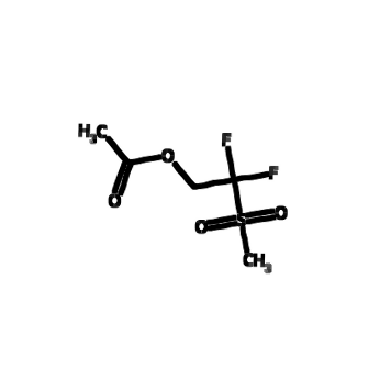 CC(=O)OCC(F)(F)S(C)(=O)=O